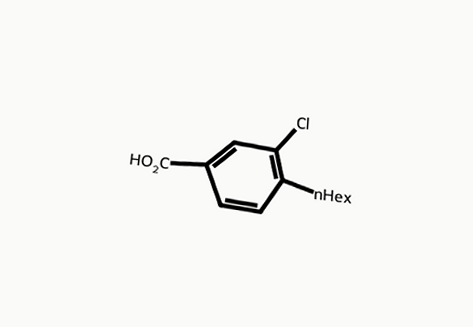 CCCCCCc1ccc(C(=O)O)cc1Cl